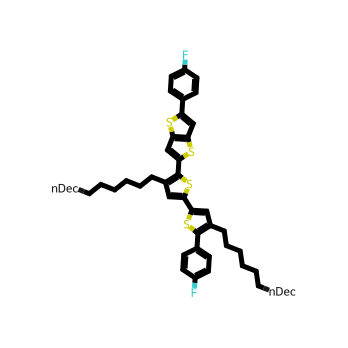 CCCCCCCCCCCCCCCCc1cc(-c2cc(CCCCCCCCCCCCCCCC)c(-c3cc4sc(-c5ccc(F)cc5)cc4s3)s2)sc1-c1ccc(F)cc1